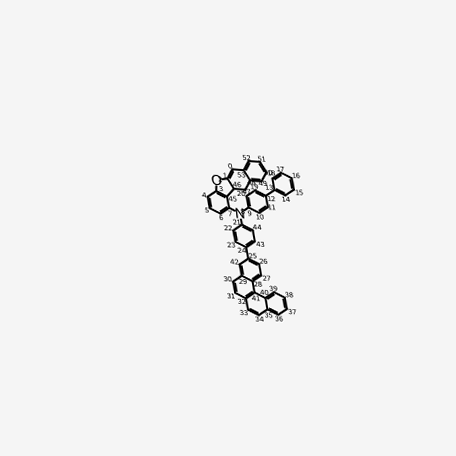 C1=C2Oc3cccc(N(c4ccc(-c5ccccc5)cc4)c4ccc(-c5ccc6c(ccc7ccc8ccccc8c76)c5)cc4)c3C2Cc2ccccc21